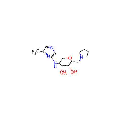 O[C@@H]1[C@H](O)[C@@H](Nc2cncc(C(F)(F)F)n2)CO[C@@H]1CN1CCCC1